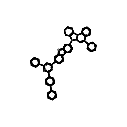 C1=CC2=C(CC1)N(c1ccc3c(c1)oc1cc(-c4nc(-c5ccccc5)nc(-c5ccc(-c6ccccc6)cc5)n4)ccc13)C1C=C(c3ccccc3)c3ccccc3C21